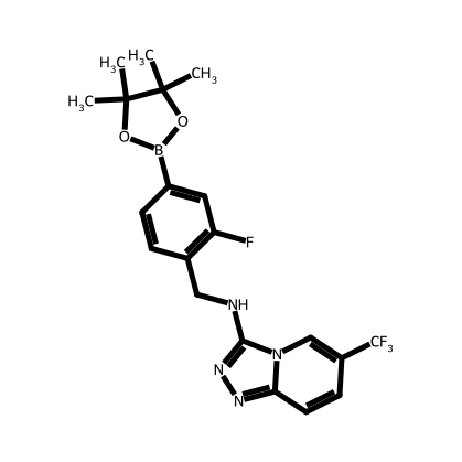 CC1(C)OB(c2ccc(CNc3nnc4ccc(C(F)(F)F)cn34)c(F)c2)OC1(C)C